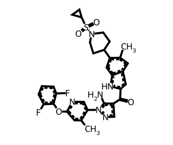 Cc1cc2cc(C(=O)c3cnn(-c4cnc(Oc5c(F)cccc5F)cc4C)c3N)[nH]c2cc1C1CCN(S(=O)(=O)C2CC2)CC1